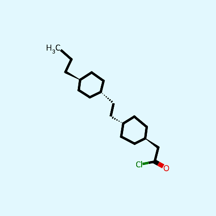 CCC[C@H]1CC[C@H](CC[C@H]2CC[C@H](CC(=O)Cl)CC2)CC1